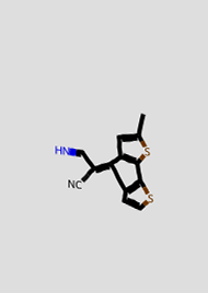 Cc1cc2c(s1)-c1sccc1/C2=C(\C#N)C=N